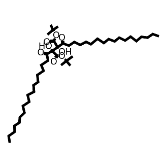 CCCCCCCCCCCCCCCCCC(=O)C(O)(C(=O)OC(C)(C)C)C(O)(C(=O)CCCCCCCCCCCCCCCCC)C(=O)OC(C)(C)C